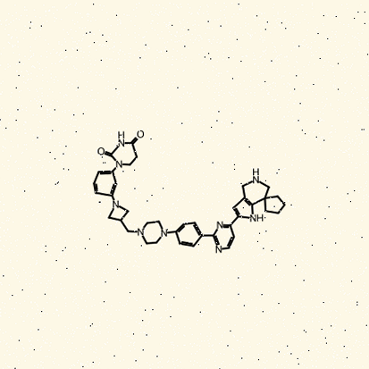 O=C1CCN(c2cccc(N3CC(CN4CCN(c5ccc(-c6nccc(-c7cc8c([nH]7)C7(CCCC7)CNC8)n6)cc5)CC4)C3)c2)C(=O)N1